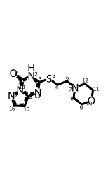 O=c1[nH]c(SCCN2CCOCC2)nc2ccnn12